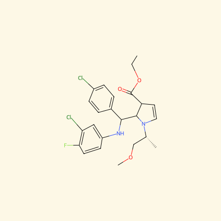 CCOC(=O)C1C=CN([C@H](C)COC)C1C(Nc1ccc(F)c(Cl)c1)c1ccc(Cl)cc1